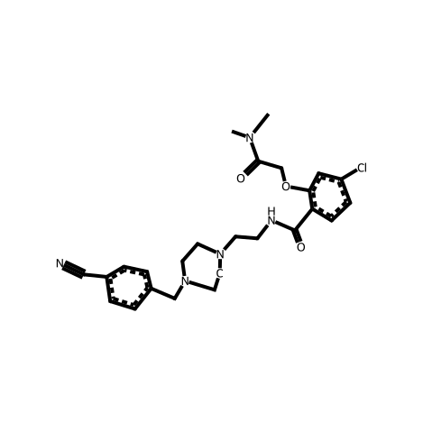 CN(C)C(=O)COc1cc(Cl)ccc1C(=O)NCCN1CCN(Cc2ccc(C#N)cc2)CC1